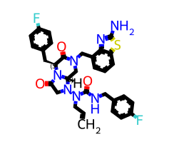 C=CCN(C(=O)NCc1ccc(F)cc1)N1CC(=O)N2[C@@H](Cc3ccc(F)cc3)C(=O)N(Cc3cccc4sc(N)nc34)C[C@@H]21